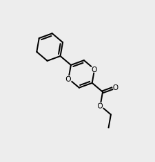 CCOC(=O)C1=COC(C2=CC=CCC2)=CO1